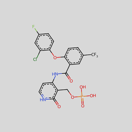 O=C(Nc1cc[nH]c(=O)c1COP(=O)(O)O)c1cc(C(F)(F)F)ccc1Oc1ccc(F)cc1Cl